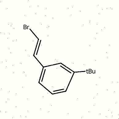 CC(C)(C)c1cccc(C=CBr)c1